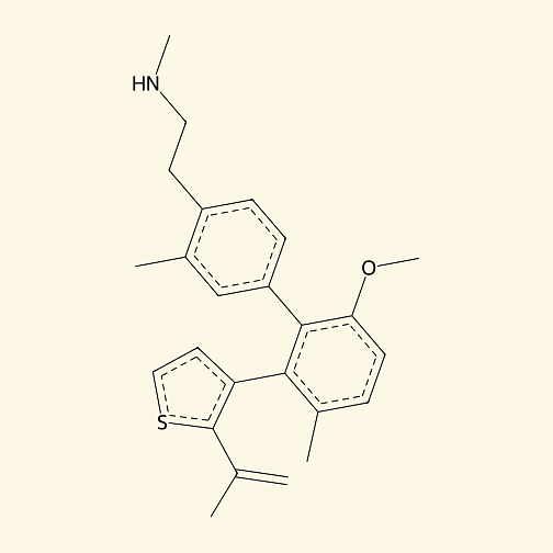 C=C(C)c1sccc1-c1c(C)ccc(OC)c1-c1ccc(CCNC)c(C)c1